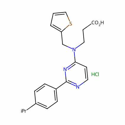 CC(C)c1ccc(-c2nccc(N(CCC(=O)O)Cc3cccs3)n2)cc1.Cl